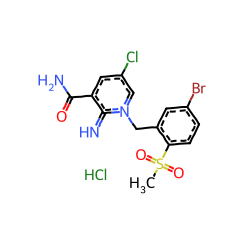 CS(=O)(=O)c1ccc(Br)cc1Cn1cc(Cl)cc(C(N)=O)c1=N.Cl